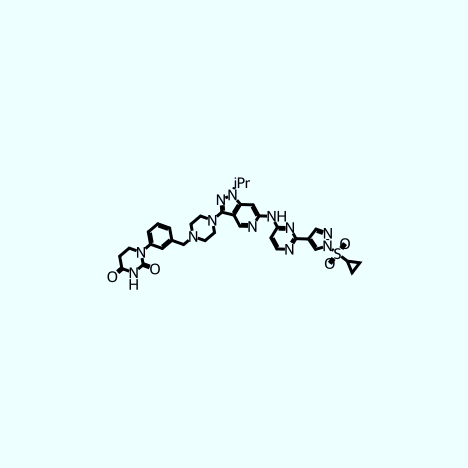 CC(C)n1nc(N2CCN(Cc3cccc(N4CCC(=O)NC4=O)c3)CC2)c2cnc(Nc3ccnc(-c4cnn(S(=O)(=O)C5CC5)c4)n3)cc21